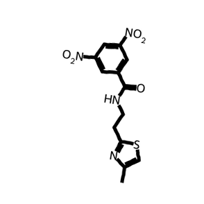 Cc1csc(CCNC(=O)c2cc([N+](=O)[O-])cc([N+](=O)[O-])c2)n1